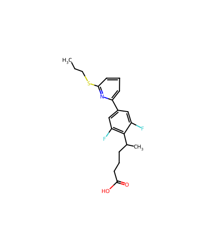 CCCSc1cccc(-c2cc(F)c(C(C)CCCC(=O)O)c(F)c2)n1